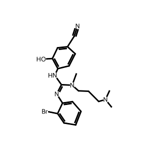 CN(C)CCCN(C)C(=Nc1ccccc1Br)Nc1ccc(C#N)cc1O